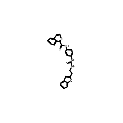 O=C(Nc1ccc(NC(=S)NCCc2cc3ccccc3o2)cc1)c1nccc2ccccc12